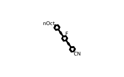 CCCCCCCCc1ccc(C#Cc2ccc(C#Cc3ccc(C#N)cc3)cc2F)cc1